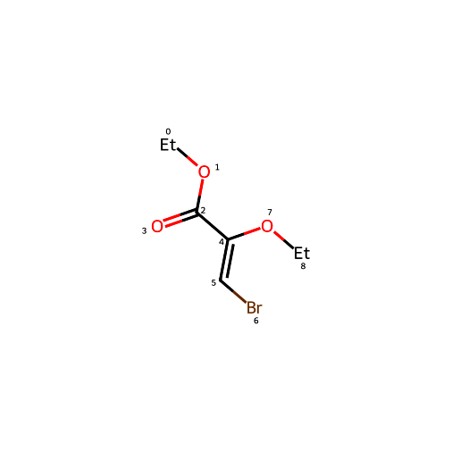 CCOC(=O)C(=CBr)OCC